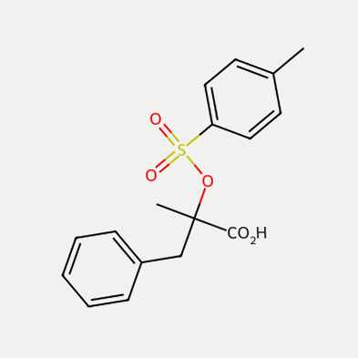 Cc1ccc(S(=O)(=O)OC(C)(Cc2ccccc2)C(=O)O)cc1